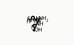 Nc1nc(Nc2ccnc(C3(O)CC3)c2)nc(-c2cccc(C(F)(F)F)n2)n1